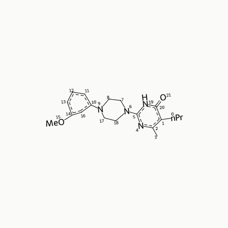 CCCc1c(C)nc(N2CCN(c3cccc(OC)c3)CC2)[nH]c1=O